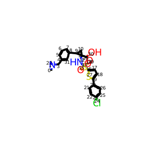 CN(C)Cc1cccc(C2CC2(NS(=O)(=O)c2ccc(-c3ccc(Cl)cc3)s2)C(=O)O)c1